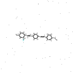 CCc1ccc(C#Cc2ccc(C#Cc3ccc(C)cc3F)cc2)cc1